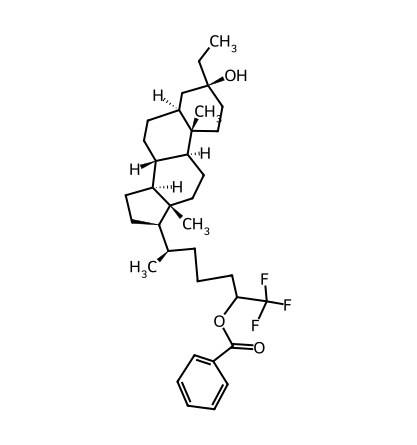 CC[C@]1(O)CC[C@@]2(C)[C@@H](CC[C@@H]3[C@@H]2CC[C@]2(C)[C@@H]([C@H](C)CCCC(OC(=O)c4ccccc4)C(F)(F)F)CC[C@@H]32)C1